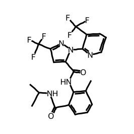 Cc1cccc(C(=O)NC(C)C)c1NC(=O)c1cc(C(F)(F)F)nn1-c1ncccc1C(F)(F)F